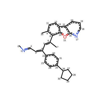 C/N=C/C=C(\C=C(/C)c1c(C)ccc2c1oc1ncccc12)c1ccc(C2CCCC2)cc1